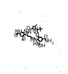 CCn1nc(C)cc1C(=O)/N=c1\n(C)c2cc(C(N)=O)cc(OC)c2n1C/C=C/CNc1c(NO)cc(C(N)=O)cc1OCCCC(C)(C)C